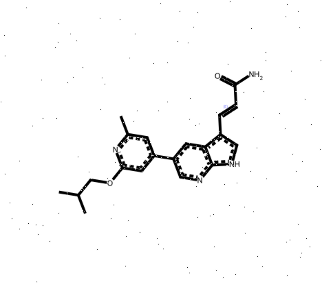 Cc1cc(-c2cnc3[nH]cc(/C=C/C(N)=O)c3c2)cc(OCC(C)C)n1